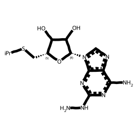 CC(C)SC[C@H]1O[C@@H](n2cnc3c(N)nc(NN)nc32)C(O)C1O